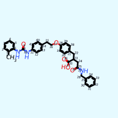 Cc1ccccc1NC(=O)Nc1ccc(CCOc2ccc(CC(CC(=O)NCc3ccccc3)C(=O)O)cc2)cc1